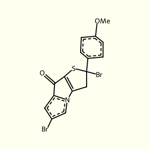 COc1ccc(C2(Br)CC3=C(S2)C(=O)c2cc(Br)cn23)cc1